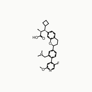 COc1cc(-c2ccc(C3CCc4ccc([C@H](C5CCC5)[C@H](C)C(=O)O)cc4O3)cc2CN(C)C)c(F)cn1